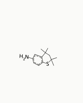 CC1(C)CC(C)(C)c2cc(N)ccc2S1